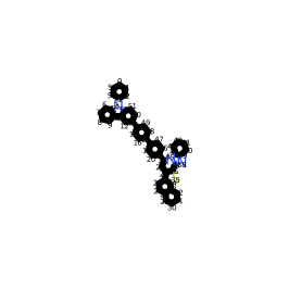 c1ccc(-n2c3ccccc3c3cc(-c4ccc(-c5ccc(-c6cc7c8ccc9ccccc9c8sc7c7nc8ccccc8n67)cc5)cc4)ccc32)cc1